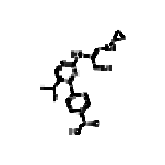 N=C/C(=C\NC1CC1)Nc1ncc(C(F)F)c(-c2ccc(C(=O)O)cc2)n1